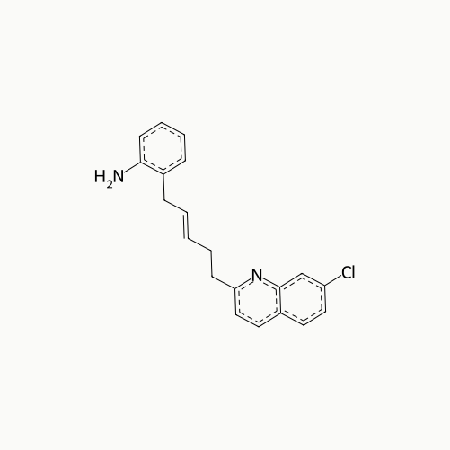 Nc1ccccc1CC=CCCc1ccc2ccc(Cl)cc2n1